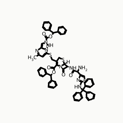 CC1=NC2=CN(C(=O)OC(c3ccccc3)c3ccccc3)NN2C(SCC2=C(C(=O)OC(c3ccccc3)c3ccccc3)N3C(=O)[C@@H](NC(=O)C(N)c4csc(NC(c5ccccc5)(c5ccccc5)c5ccccc5)n4)[C@H]3SC2)=C1